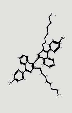 CCCCCCCCc1cc(-c2c(CCCCCCCC)cc(-c3ccc(N)cc3)c3ccccc23)c2ccccc2c1-c1ccc(N)cc1